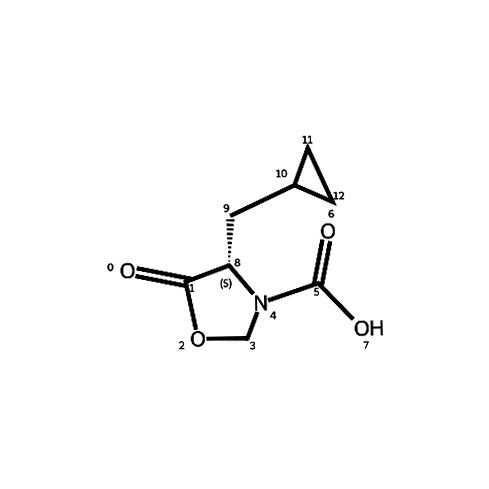 O=C1OCN(C(=O)O)[C@H]1CC1CC1